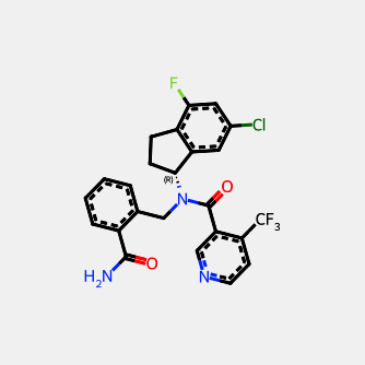 NC(=O)c1ccccc1CN(C(=O)c1cnccc1C(F)(F)F)[C@@H]1CCc2c(F)cc(Cl)cc21